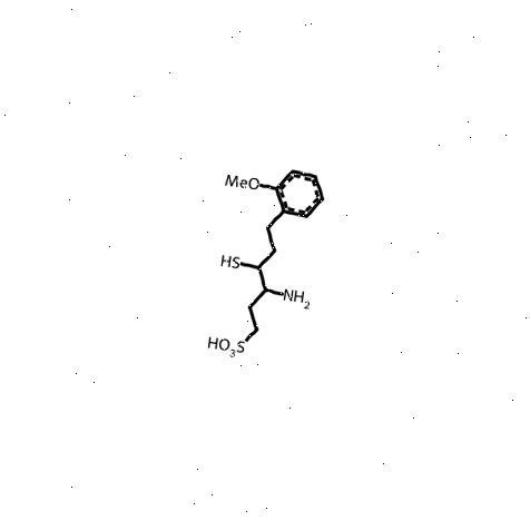 COc1ccccc1CCC(S)C(N)CCS(=O)(=O)O